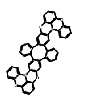 c1ccc2c(c1)Oc1cccc3c1B2c1cc2c(cc1O3)-c1ccccc1-c1cc3c(cc1-c1ccccc1-2)Oc1cccc2c1B3c1ccccc1O2